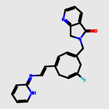 O=C1c2cccnc2CN1C/C1=C/C=C(/C=C/N=c2/cccc[nH]2)C/C=C(/F)C1